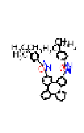 CC(C)(C)c1ccc(-c2nnc(-c3ccc4c(c3)-c3cc(-c5nnc(-c6ccc(C(C)(C)C)cc6)o5)ccc3-c3ccccc3-c3ccccc3-4)o2)cc1